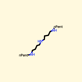 CCCCCNCCCCNCCCCNCCCCC